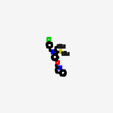 CC(C)(C)Cc1c(SC(C)(C)C)c2cc(OCc3ccc4ccccc4n3)ccc2n1Cc1ccc(Cl)cc1